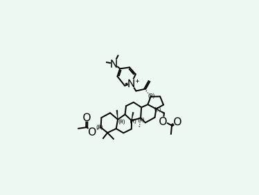 C=C(C[n+]1ccc(N(C)C)cc1)[C@@H]1CC[C@]2(COC(C)=O)CC[C@]3(C)C(CCC4[C@@]5(C)CC[C@@H](OC(C)=O)C(C)(C)C5CC[C@]43C)C12